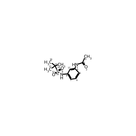 CC(=O)Nc1cccc(NS(=O)(=O)C(C)(C)C)c1